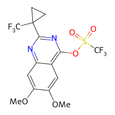 COc1cc2nc(C3(C(F)(F)F)CC3)nc(OS(=O)(=O)C(F)(F)F)c2cc1OC